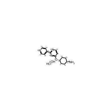 Cl.Cl.N[C@H]1CC[C@H](Oc2ccnc(-c3ccncc3)n2)CC1